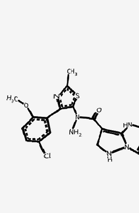 COc1ccc(Cl)cc1-c1nc(C)sc1N(N)C(=O)C1=C2NCC=CN2NC1